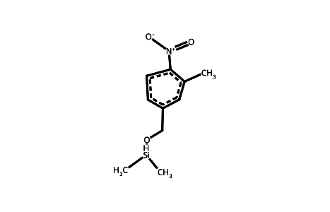 Cc1cc(CO[SiH](C)C)ccc1[N+](=O)[O-]